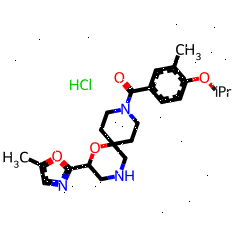 Cc1cnc(C2CNCC3(CCN(C(=O)c4ccc(OC(C)C)c(C)c4)CC3)O2)o1.Cl